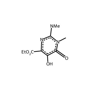 CCOC(=O)c1nc(NC)n(C)c(=O)c1O